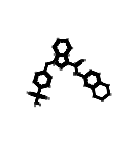 CS(=O)(=O)c1ccc(Cn2nc(C(=O)Nc3ccc4c(c3)CCCC4)c3ccccc32)cc1